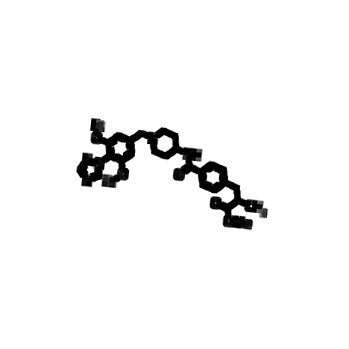 CCOc1cc(CN2CCC(NC(=O)c3ccc(CC(C)C(=O)OC)cc3)CC2)cc(OCC)c1-n1cncn1